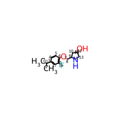 CC(C)c1ccc(OCC2C[C@@H](O)CN2)c(F)c1